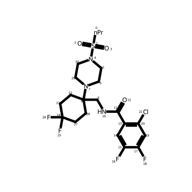 CCCS(=O)(=O)N1CCN(C2(CNC(=O)c3cc(F)c(F)cc3Cl)CCC(F)(F)CC2)CC1